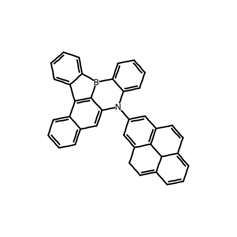 C1=CC2=CCc3cc(N4c5ccccc5B5c6ccccc6-c6c5c4cc4ccccc64)cc4c3C2C(=C1)C=C4